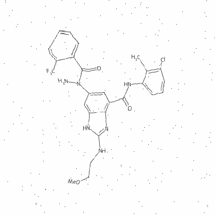 COCCNc1nc2c(C(=O)Nc3cccc(Cl)c3C)cc(N(N)C(=O)c3ccccc3C(F)(F)F)cc2[nH]1